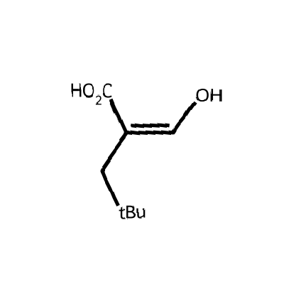 CC(C)(C)CC(=CO)C(=O)O